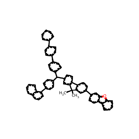 CC1(C)c2cc(-c3ccc4c(c3)oc3ccccc34)ccc2-c2ccc(C(c3ccc(-c4ccc(-c5ccccc5)cc4)cc3)c3ccc(-c4cccc5ccccc45)cc3)cc21